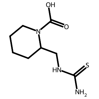 NC(=S)NCC1CCCCN1C(=O)O